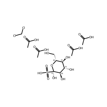 CC(=O)O.CC(=O)O.CC(=O)O.CC(=O)O.ClCCl.O=S(=O)(O)[C@@]1(O)O[C@H](CO)[C@@H](O)[C@H](O)[C@H]1O